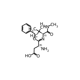 CNC(=O)[C@@H](N=C(OCc1ccccc1)[C@H](N)CC(=O)O)C(C)(C)C